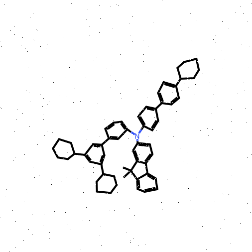 CC1(C)c2ccccc2-c2ccc(N(c3ccc(-c4ccc(C5CCCCC5)cc4)cc3)c3cccc(-c4cc(C5CCCCC5)cc(C5CCCCC5)c4)c3)cc21